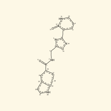 O=C(NCc1nc(-c2ccc[nH]c2=O)no1)c1ccc2[nH]ccc2c1